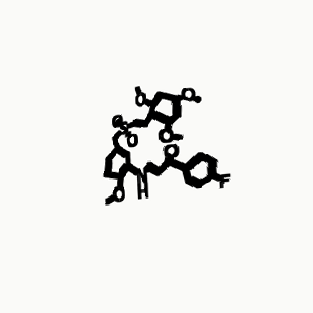 COc1cc(OC)c(/C=C/S(=O)(=O)Cc2ccc(OC)c(N/C=C/C(=O)c3ccc(F)cc3)c2)c(OC)c1